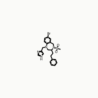 CS(=O)(=O)N1Cc2cc(Br)ccc2N(Cc2c[nH]cn2)CC1CCc1ccccc1